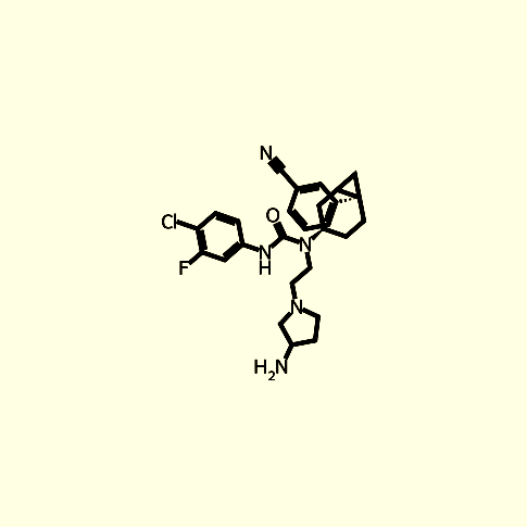 N#Cc1cccc([C@]23CC[C@@H](N(CCN4CCC(N)C4)C(=O)Nc4ccc(Cl)c(F)c4)CC2C3)c1